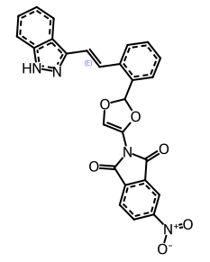 O=C1c2ccc([N+](=O)[O-])cc2C(=O)N1C1=COC(c2ccccc2/C=C/c2n[nH]c3ccccc23)O1